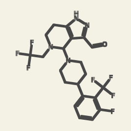 O=Cc1n[nH]c2c1C(N1CCC(c3cccc(F)c3C(F)(F)F)CC1)N(CC(F)(F)F)CC2